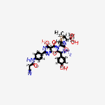 CC1(C)S[C@@H]2[C@H](N(C(=O)c3cnc(-c4ccc(NC(=O)CC#N)cc4)nc3O)C(=O)C(N)c3ccc(O)cc3)C(=O)N2[C@H]1C(=O)O